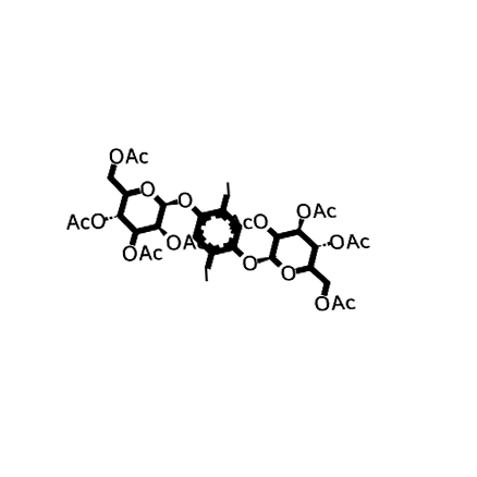 CC(=O)OCC1O[C@@H](Oc2cc(I)c(O[C@@H]3OC(COC(C)=O)[C@@H](OC(C)=O)[C@H](OC(C)=O)C3OC(C)=O)cc2I)[C@@H](OC(C)=O)C(OC(C)=O)[C@@H]1OC(C)=O